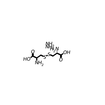 N.N.NC(CSSC[C@H](N)C(=O)O)C(=O)O